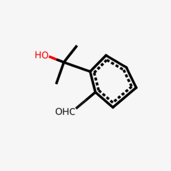 CC(C)(O)c1ccccc1C=O